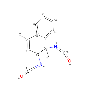 CC1=CC(N=C=O)C(C)(N=C=O)c2ccccc21